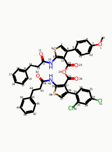 COc1ccc(-c2csc(NC(=O)CCc3ccccc3)c2C(=O)OC(=O)c2c(-c3ccc(Cl)cc3Cl)csc2NC(=O)CCc2ccccc2)cc1